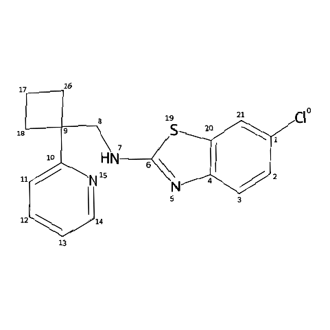 Clc1ccc2nc(NCC3(c4ccccn4)CCC3)sc2c1